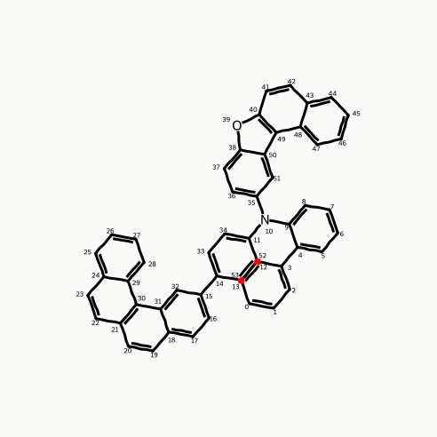 c1ccc(-c2ccccc2N(c2ccc(-c3ccc4ccc5ccc6ccccc6c5c4c3)cc2)c2ccc3oc4ccc5ccccc5c4c3c2)cc1